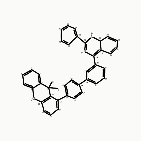 CC1(C)c2ccccc2Oc2cccc(-c3ccc(-c4cccc(C5=C6C=CC=CC6NC(c6ccccc6)=N5)c4)cc3)c21